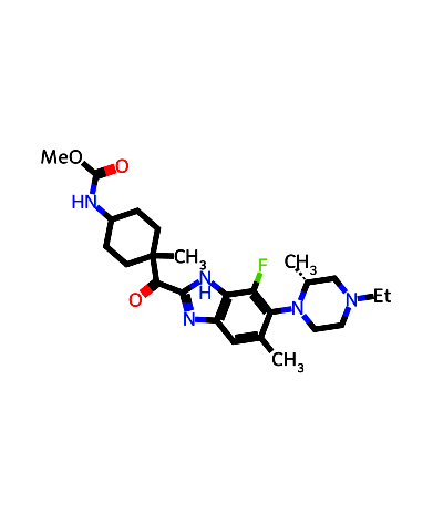 CCN1CCN(c2c(C)cc3nc(C(=O)C4(C)CCC(NC(=O)OC)CC4)[nH]c3c2F)[C@H](C)C1